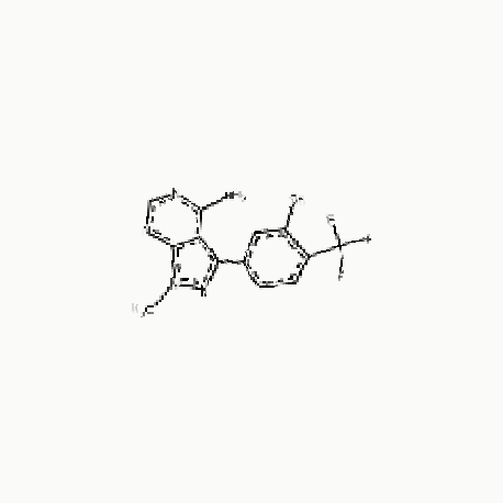 Cn1nc(-c2ccc(C(F)(F)F)c(O)c2)c2c(N)ncnc21